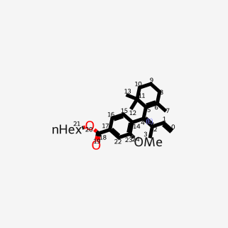 C=C/C(C)=C(\C1=C(C)CCCC1(C)C)c1ccc(C(=O)OCCCCCC)cc1OC